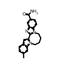 Cc1ccc2cc3n(c2c1)CCCCn1c-3nc2cc(C(N)=O)ccc21